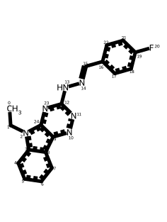 CCn1c2ccccc2c2nnc(NN=Cc3ccc(F)cc3)nc21